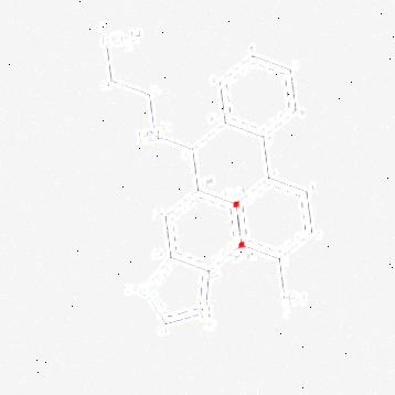 CC(C)(C)c1ccc(-c2ccccc2C(NCCC(=O)O)c2ccc3ncoc3c2)cc1